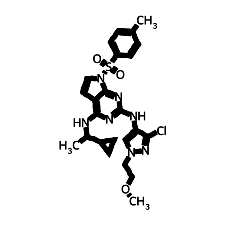 COCCn1cc(Nc2nc(NC(C)C3CC3)c3ccn(S(=O)(=O)c4ccc(C)cc4)c3n2)c(Cl)n1